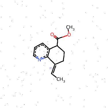 C/C=C1\CCC(C(=O)OC)c2cccnc21